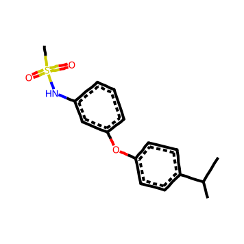 CC(C)c1ccc(Oc2cccc(NS(C)(=O)=O)c2)cc1